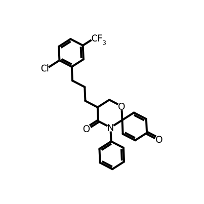 O=C1C=CC2(C=C1)OCC(CCCc1cc(C(F)(F)F)ccc1Cl)C(=O)N2c1ccccc1